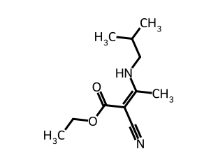 CCOC(=O)C(C#N)=C(C)NCC(C)C